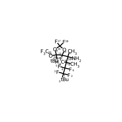 CC(C)(C)C(F)(F)C(F)(F)C(C)(C)C(C)(N)C1(F)OC(F)(F)OC1(OC(F)(F)F)C(C)(C)C